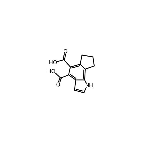 O=C(O)c1c2c(c3[nH]ccc3c1C(=O)O)CCC2